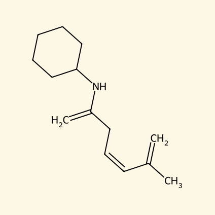 C=C(C)/C=C\CC(=C)NC1CCCCC1